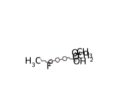 C=C(C)C(=O)OCC(CO)CCC1CCC(C2CCC(c3ccc(CCCCC)c(F)c3)CC2)CC1